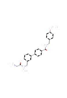 COc1ccc(CNC(=O)c2ccc(-c3cccc(CN(C)C(=O)CN)c3)cc2)cc1